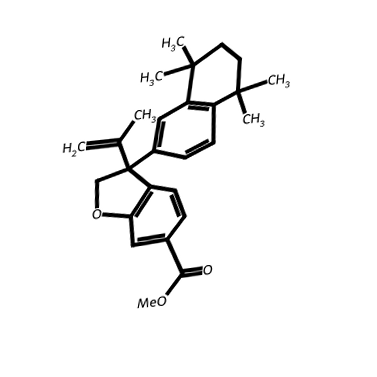 C=C(C)C1(c2ccc3c(c2)C(C)(C)CCC3(C)C)COc2cc(C(=O)OC)ccc21